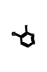 [CH2]c1nnccc1Cl